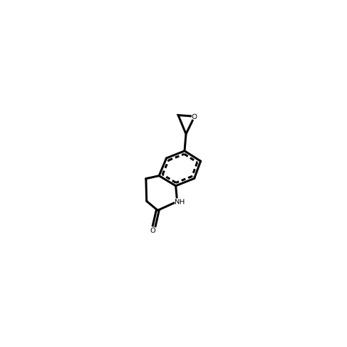 O=C1CCc2cc(C3CO3)ccc2N1